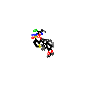 [2H]c1c(C)c(C([2H])([2H])C(=O)c2sccc2S(=O)(=O)Nc2onc(C)c2Cl)c([2H])c2c1OC([2H])([2H])O2